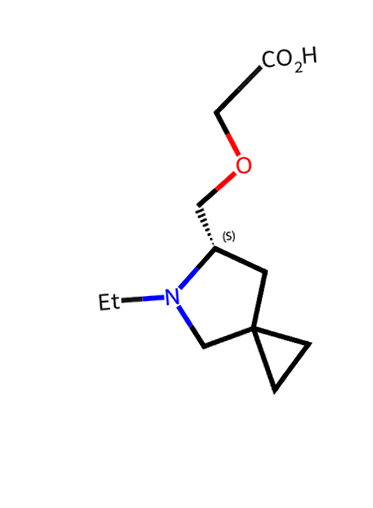 CCN1CC2(CC2)C[C@H]1COCC(=O)O